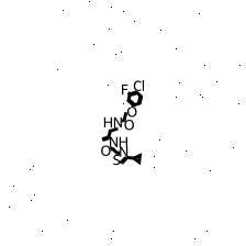 C=C(CCNC(=O)COc1ccc(Cl)c(F)c1)NC(=O)c1nc(C2CC2)cs1